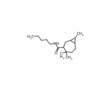 CCCCCNC(=O)C1CC2C(C)C2CCC1(C)C